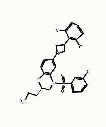 O=C(O)CC[C@H]1CN(S(=O)(=O)c2cccc(Cl)c2)c2cc(N3CC(c4c(Cl)cccc4Cl)C3)ccc2O1